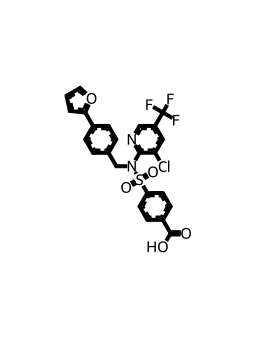 O=C(O)c1ccc(S(=O)(=O)N(Cc2ccc(-c3ccco3)cc2)c2ncc(C(F)(F)F)cc2Cl)cc1